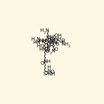 CC(CCC(N)=O)NC(=O)C(CCC(N)=O)NC(=O)C(CO)NC(=O)C(CCCCN)NC(=O)C(CCCNC(=N)N)NC(=O)C(CO)NC(=O)CCCCCNC(=O)CCCCC1SCC2NC(=O)NC21